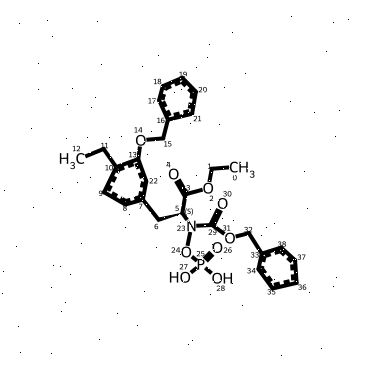 CCOC(=O)[C@H](Cc1ccc(CC)c(OCc2ccccc2)c1)N(OP(=O)(O)O)C(=O)OCc1ccccc1